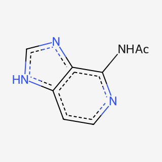 CC(=O)Nc1nccc2[nH]cnc12